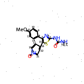 CCNC(=O)Nc1nc(-c2ccc(OC)cc2)c(-c2cc[n+]([O-])cc2)s1